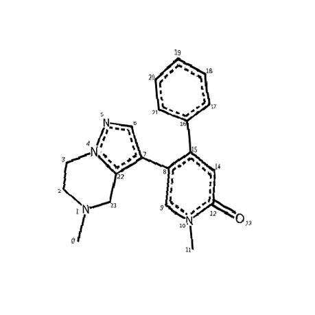 CN1CCn2ncc(-c3cn(C)c(=O)cc3-c3ccccc3)c2C1